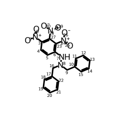 O=[N+]([O-])c1ccc(NN(Cc2ccccc2)Cc2ccccc2)c([N+](=O)[O-])c1[N+](=O)[O-]